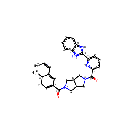 CC(C)/C=C\C1=CC(C(=O)N2CC3CN(C(=O)c4cccc(-c5nc6ccccc6[nH]5)n4)CC3C2)=CCC1C